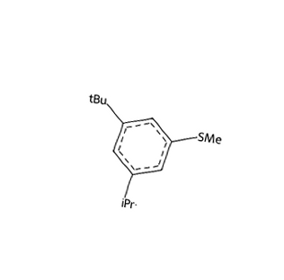 CSc1cc([C](C)C)cc(C(C)(C)C)c1